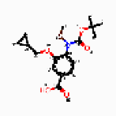 CSN(C(=O)OC(C)(C)C)c1ccc(C(=O)O)cc1OCC1CC1